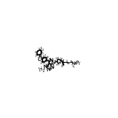 C=C(/C=C/CN(C)C(C)C)N1CCC(n2nc(-c3ccc(Oc4ccccc4)cc3)c3c(N)ncnc32)C1